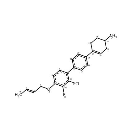 C/C=C/COc1ccc(-c2ccc(C3=CCC(C)CC3)cc2)c(Cl)c1F